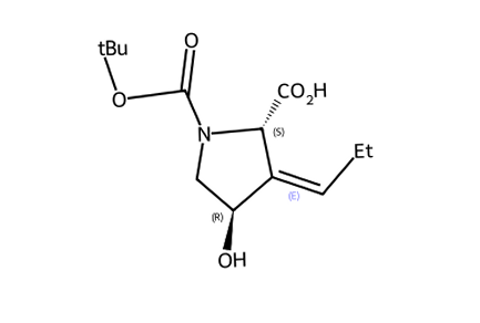 CC/C=C1\[C@@H](C(=O)O)N(C(=O)OC(C)(C)C)C[C@@H]1O